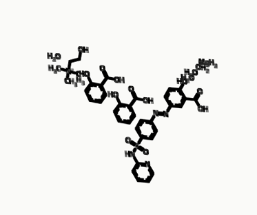 C[N+](C)(C)CCO.O.O.O.O.O=C(O)c1cc(N=Nc2ccc(S(=O)(=O)Nc3ccccn3)cc2)ccc1O.O=C(O)c1ccccc1O.O=C(O)c1ccccc1O.[MgH2]